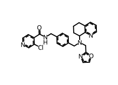 O=C(NCc1ccc(CN(Cc2ncco2)C2CCCc3cccnc32)cc1)c1ccncc1Cl